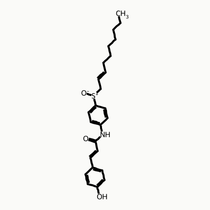 CCCCCCCC=CC[S+]([O-])c1ccc(NC(=O)/C=C/c2ccc(O)cc2)cc1